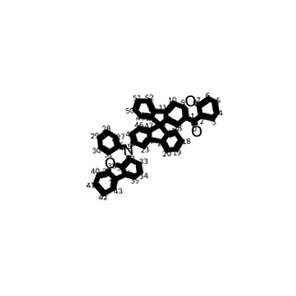 O=c1c2ccccc2oc2cc3c(cc12)C1(c2ccccc2-c2cc(N(c4ccccc4)c4cccc5c4oc4ccccc45)ccc21)c1ccccc1-3